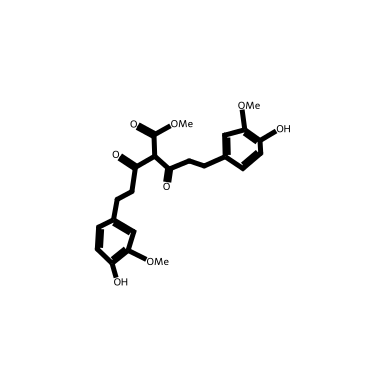 COC(=O)C(C(=O)CCc1ccc(O)c(OC)c1)C(=O)CCc1ccc(O)c(OC)c1